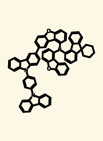 c1ccc2c(c1)-c1c(N(c3cccc4oc5ccccc5c34)c3cccc4oc5ccc(-c6ccc7c(c6)c6ccccc6n7-c6ccc(-n7c8ccccc8c8ccccc87)cc6)cc5c34)cccc1C21CCCCC1